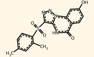 Cc1ccc(S(=O)(=O)c2nnn3c2[nH]c(=O)c2ccc(O)cc23)c(C)c1